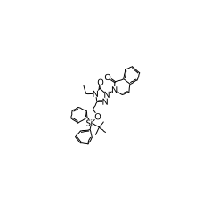 CCn1c(CO[Si](c2ccccc2)(c2ccccc2)C(C)(C)C)nn(-n2ccc3ccccc3c2=O)c1=O